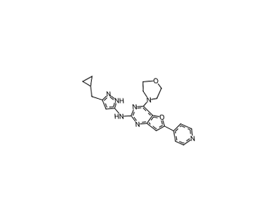 c1cc(-c2cc3nc(Nc4cc(CC5CC5)n[nH]4)nc(N4CCOCC4)c3o2)ccn1